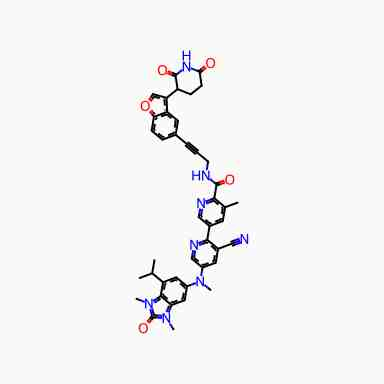 Cc1cc(-c2ncc(N(C)c3cc(C(C)C)c4c(c3)n(C)c(=O)n4C)cc2C#N)cnc1C(=O)NCC#Cc1ccc2occ(C3CCC(=O)NC3=O)c2c1